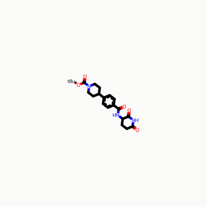 CC(C)(C)OC(=O)N1CCC(c2ccc(C(=O)NC3CCC(=O)NC3=O)cc2)CC1